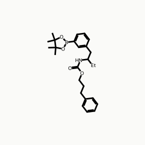 CCC(Cc1cccc(B2OC(C)(C)C(C)(C)O2)c1)NC(=O)OCCCc1ccccc1